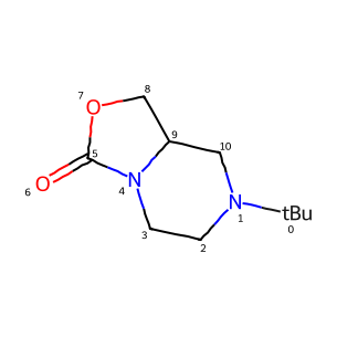 CC(C)(C)N1CCN2C(=O)OCC2C1